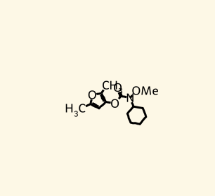 CON(C(=O)Oc1cc(C)oc1C)C1CCCCC1